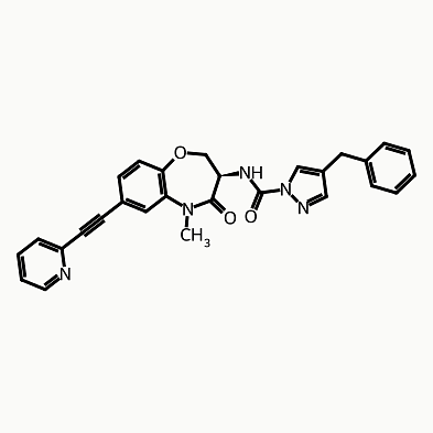 CN1C(=O)[C@H](NC(=O)n2cc(Cc3ccccc3)cn2)COc2ccc(C#Cc3ccccn3)cc21